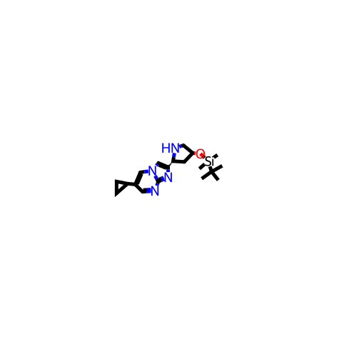 CC(C)(C)[Si](C)(C)OC1CN[C@@H](c2cn3cc(C4CC4)cnc3n2)C1